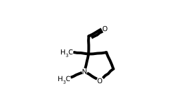 CN1OCCC1(C)C=O